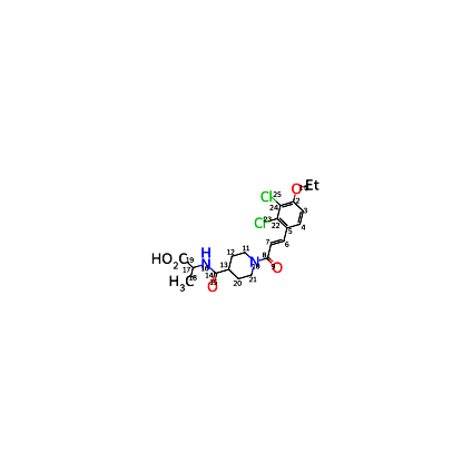 CCOc1ccc(C=CC(=O)N2CCC(C(=O)NC(C)C(=O)O)CC2)c(Cl)c1Cl